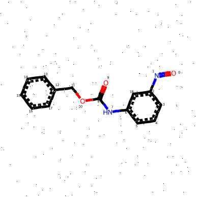 O=Nc1cccc(NC(=O)OCc2ccccc2)c1